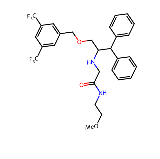 COCCNC(=O)CNC(COCc1cc(C(F)(F)F)cc(C(F)(F)F)c1)C(c1ccccc1)c1ccccc1